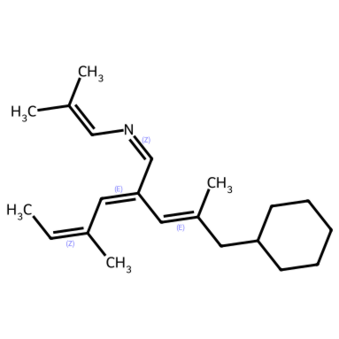 C\C=C(C)/C=C(/C=N\C=C(C)C)\C=C(/C)CC1CCCCC1